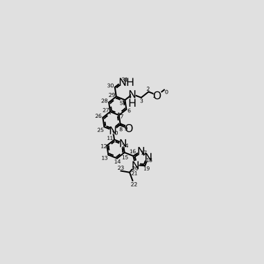 COCCNc1cc2c(=O)n(-c3cccc(-c4nncn4C(C)C)n3)ccc2cc1C=N